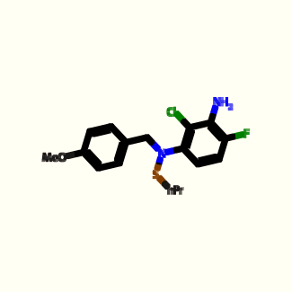 CCCSN(Cc1ccc(OC)cc1)c1ccc(F)c(N)c1Cl